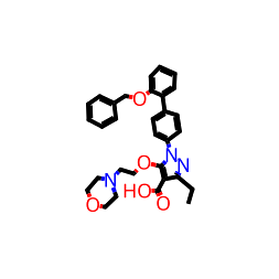 CCc1nn(-c2ccc(-c3ccccc3OCc3ccccc3)cc2)c(OCCN2CCOCC2)c1C(=O)O